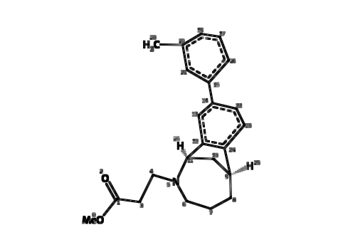 COC(=O)CCN1CCC[C@H]2C[C@@H]1c1cc(-c3cccc(C)c3)ccc12